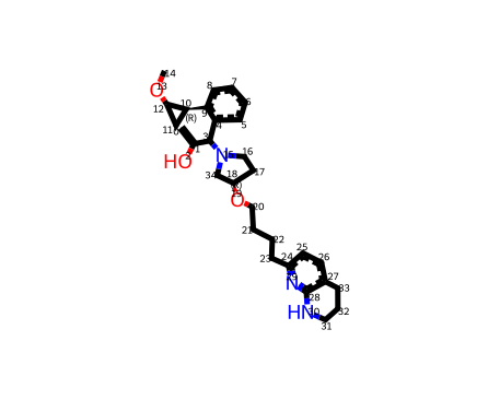 C=C(O)C(c1ccccc1[C@H]1CC1OC)N1CC[C@@H](OCCCCc2ccc3c(n2)NCCC3)C1